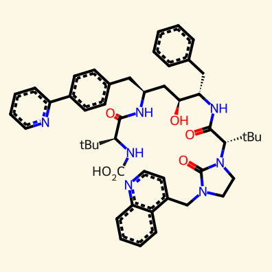 CC(C)(C)[C@H](NC(=O)O)C(=O)N[C@@H](Cc1ccc(-c2ccccn2)cc1)C[C@H](O)[C@H](Cc1ccccc1)NC(=O)[C@@H](N1CCN(Cc2ccnc3ccccc23)C1=O)C(C)(C)C